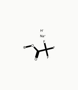 [B]OC(=O)C(F)(F)F.[H-].[Na+]